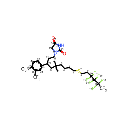 CC(C)(CCCCSCCC(F)(F)C(F)(F)C(F)(F)C(F)(F)F)CC(CCN1CC(=O)NC1=O)c1ccc([N+](=O)[O-])c(C(F)(F)F)c1